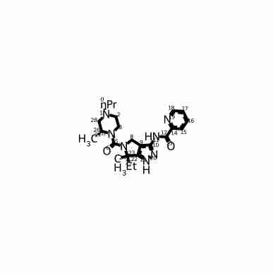 CCCN1CCN(C(=O)N2Cc3c(NC(=O)c4ccccn4)n[nH]c3C2(C)CC)[C@@H](C)C1